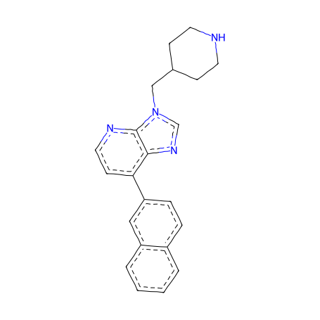 c1ccc2cc(-c3ccnc4c3ncn4CC3CCNCC3)ccc2c1